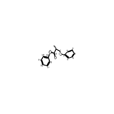 CC(COc1ccccc1)C(=O)Oc1ccccc1